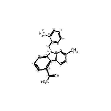 Cc1c[c]c2c3c(C(N)=O)cccc3n(Cc3ccccc3C)c2c1